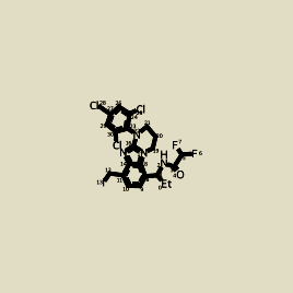 CCC(NC(=O)C(F)F)c1ccc(CI)c2nc3n(c12)CCCN3c1c(Cl)cc(Cl)cc1Cl